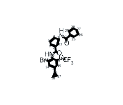 O=C(Nc1cccc(C(=O)Nc2c(Br)cc(C3CC3)cc2OC(F)(F)F)c1)c1ccccc1